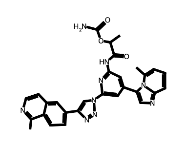 Cc1nccc2cc(-c3cn(-c4cc(-c5cnc6cccc(C)n56)cc(NC(=O)C(C)OC(N)=O)n4)nn3)ccc12